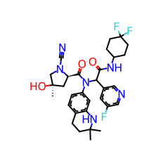 CC1(C)CCc2ccc(N(C(=O)[C@H]3C[C@@](C)(O)CN3C#N)C(C(=O)NC3CCC(F)(F)CC3)c3cncc(F)c3)cc2N1